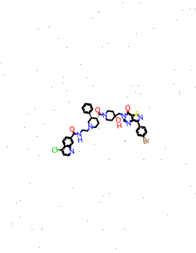 O=C(NCCN1CC[C@@H](C(=O)N2CCC(O)(Cn3cnc4c(-c5ccc(Br)cc5)nsc4c3=O)CC2)[C@H](c2ccccc2)C1)c1ccc2c(Cl)ccnc2c1